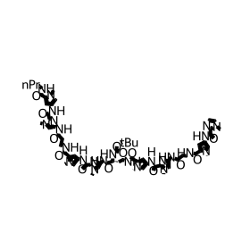 CCCNC(=O)c1cc(NC(=O)c2nc(NC(=O)CCNC(=O)c3cc(NC(=O)c4nc(NC(=O)[C@@H](CCNC(=O)c5cc(NC(=O)c6nc(NC(=O)CCNC(=O)c7cc(NC(=O)c8nccn8C)cn7C)cn6C)cn5C)NC(=O)OC(C)(C)C)cn4C)cn3C)cn2C)cn1C